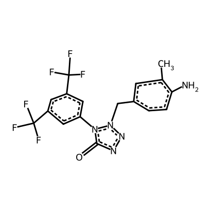 Cc1cc(Cn2nnc(=O)n2-c2cc(C(F)(F)F)cc(C(F)(F)F)c2)ccc1N